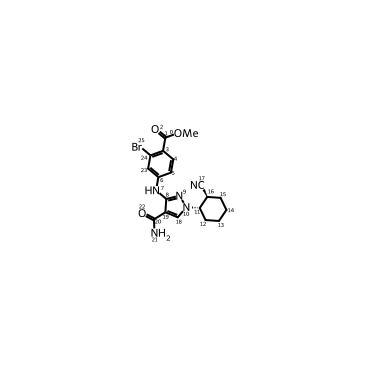 COC(=O)c1ccc(Nc2nn([C@H]3CCCC[C@@H]3C#N)cc2C(N)=O)cc1Br